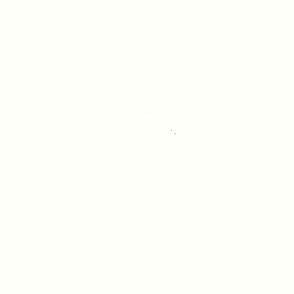 Cn1cc(F)cc(C=O)c1=O